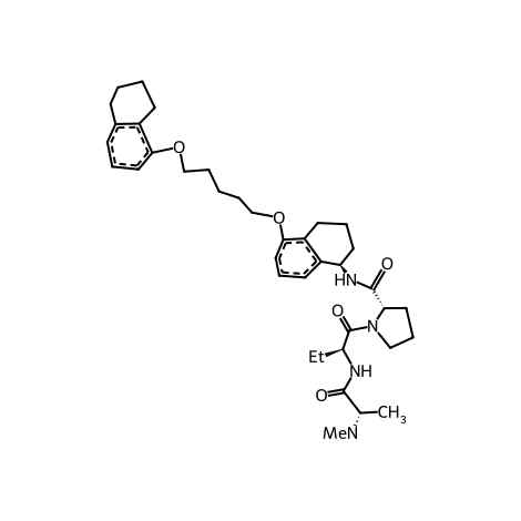 CC[C@H](NC(=O)[C@H](C)NC)C(=O)N1CCC[C@H]1C(=O)N[C@@H]1CCCc2c(OCCCCCOc3cccc4c3CCCC4)cccc21